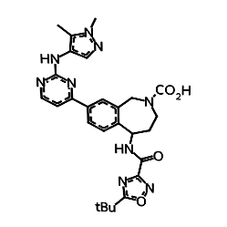 Cc1c(Nc2nccc(-c3ccc4c(c3)CN(C(=O)O)CCC4NC(=O)c3noc(C(C)(C)C)n3)n2)cnn1C